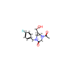 CC(=O)N1CC(=O)N(Cc2ccc(F)cc2)C2C(CO)C21